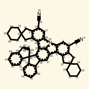 N#Cc1cc2c(c3c1CC1(CCCCC1)C3)c1cc3c(c4c5c6c(c(C#N)cc5n2c14)CC1(CCCCC1)C6)C1(c2ccccc2-c2ccccc21)c1ccccc1-3